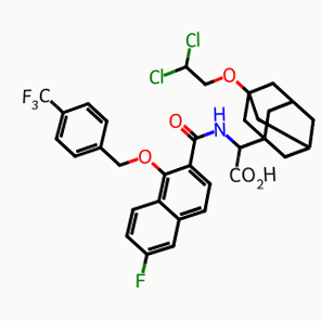 O=C(NC(C(=O)O)C12CC3CC(CC(OCC(Cl)Cl)(C3)C1)C2)c1ccc2cc(F)ccc2c1OCc1ccc(C(F)(F)F)cc1